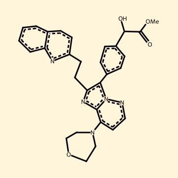 COC(=O)C(O)c1ccc(-c2c(CCc3ccc4ccccc4n3)nc3c(N4CCOCC4)ccnn23)cc1